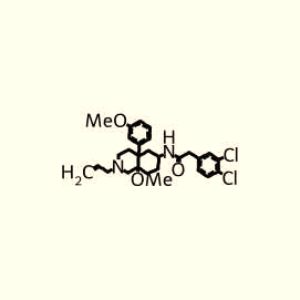 C=CCN1CCC2(c3cccc(OC)c3)CC(NC(=O)Cc3ccc(Cl)c(Cl)c3)CCC2(OC)C1